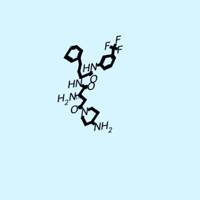 NC1CCN(C(=O)C[C@H](N)C(=O)NC(CCc2ccccc2)C(=O)Nc2cccc(C(F)(F)F)c2)CC1